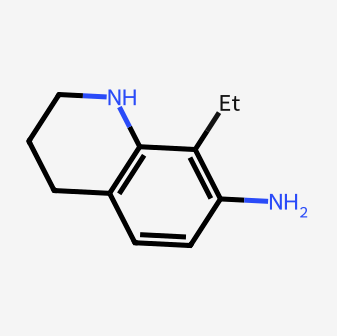 CCc1c(N)ccc2c1NCCC2